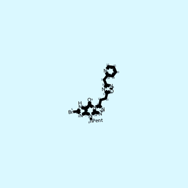 CCCCCn1c2nc(Br)[nH]c2c(=O)n2c(CCc3nc(Cc4ccccn4)no3)nnc12